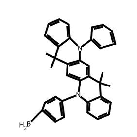 Bc1ccc(N2c3ccccc3C(C)(C)c3cc4c(cc32)C(C)(C)c2ccccc2N4c2ccccc2)cc1